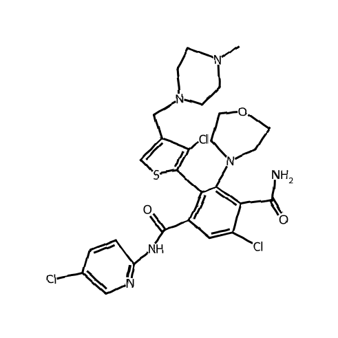 CN1CCN(Cc2csc(-c3c(C(=O)Nc4ccc(Cl)cn4)cc(Cl)c(C(N)=O)c3N3CCOCC3)c2Cl)CC1